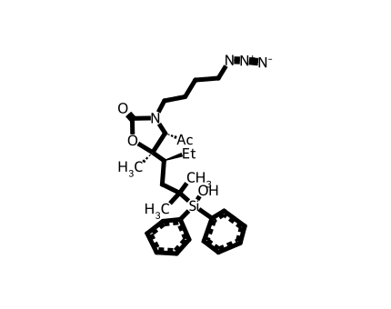 CC[C@@H](CC(C)(C)[Si](O)(c1ccccc1)c1ccccc1)[C@@]1(C)OC(=O)N(CCCCN=[N+]=[N-])[C@@H]1C(C)=O